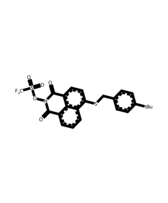 CC(C)(C)c1ccc(CSc2ccc3c4c(cccc24)C(=O)N(OS(=O)(=O)C(F)(F)F)C3=O)cc1